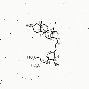 CC(C)[C@H](NC(=O)CC[C@@H](C)[C@H]1CC[C@H]2[C@@H]3CC[C@@H]4C[C@H](O)CC[C@]4(C)[C@H]3CC[C@]12C)C(=O)N[C@@H](CC(=O)O)C(=O)O